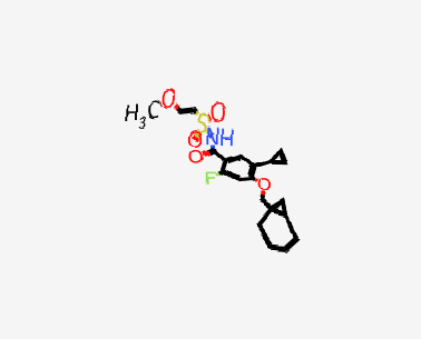 COCCS(=O)(=O)NC(=O)c1cc(C2CC2)c(OCC23CCCCC2C3)cc1F